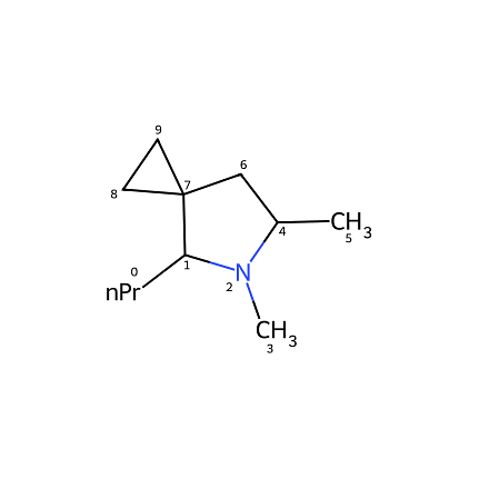 CCCC1N(C)C(C)CC12CC2